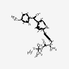 Cc1ccc(C(=O)c2ccc(C#CCN(C)C(=O)OC(C)(C)C)nc2)cc1